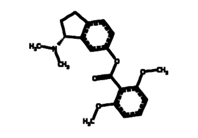 COc1cccc(OC)c1C(=O)Oc1ccc2c(c1)[C@H](N(C)C)CC2